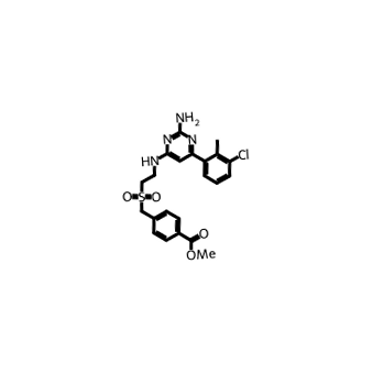 COC(=O)c1ccc(CS(=O)(=O)CCNc2cc(-c3cccc(Cl)c3C)nc(N)n2)cc1